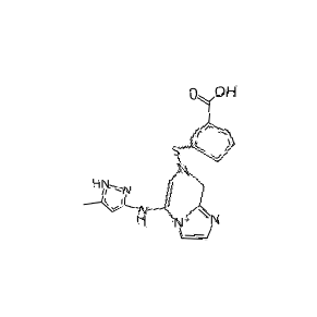 Cc1cc(NC2=CN(Sc3cccc(C(=O)O)c3)CC3=NC=C[N+]23)n[nH]1